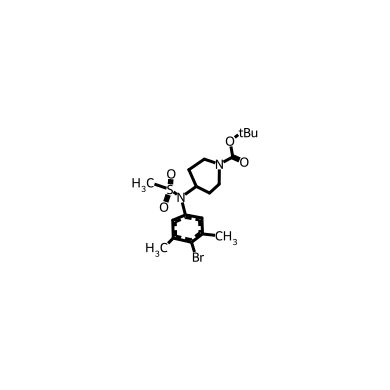 Cc1cc(N(C2CCN(C(=O)OC(C)(C)C)CC2)S(C)(=O)=O)cc(C)c1Br